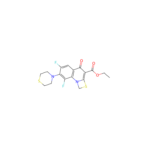 CCOC(=O)c1c2n(c3c(F)c(N4CCSCC4)c(F)cc3c1=O)CS2